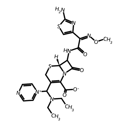 CCN(CC)C(C1=C(C(=O)[O-])N2C(=O)C(NC(=O)/C(=N\OC)c3csc(N)n3)[C@H]2SC1)[n+]1ccncc1